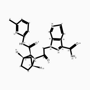 Cc1cccc(NC(=O)[C@@H]2[C@H]3CC[C@H](C3)N2C(=O)Cn2nc(C(N)=O)c3ccncc32)n1